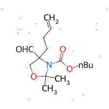 C=CCCC1(C=O)COC(C)(C)N1C(=O)OCCCC